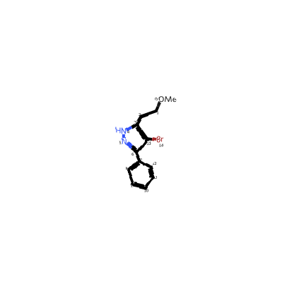 COCCc1[nH]nc(-c2ccccc2)c1Br